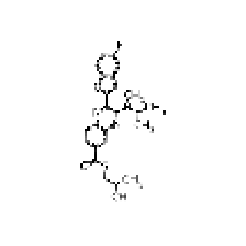 CC(C)CSC(=O)c1ccc2nc(-c3cc4cc(F)ccc4o3)c(N(C)C(C)C)nc2c1